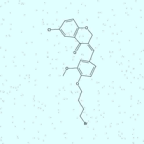 COc1cc(C=C2COc3ccc(Cl)cc3C2=O)ccc1OCCCCBr